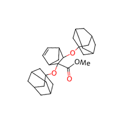 COC(=O)C1(OC23CC4CC(CC(C4)C2)C3)C2C=CC(C2)C1OC12CC3CC(CC(C3)C1)C2